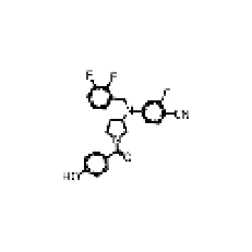 N#Cc1ccc(N(Cc2cccc(F)c2F)C2CCN(C(=O)c3ccc(O)cc3)C2)cc1Cl